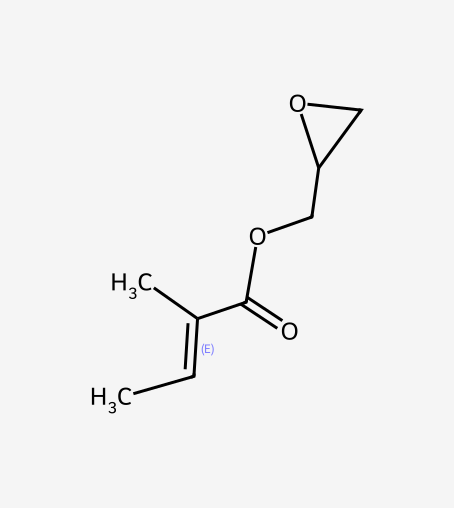 C/C=C(\C)C(=O)OCC1CO1